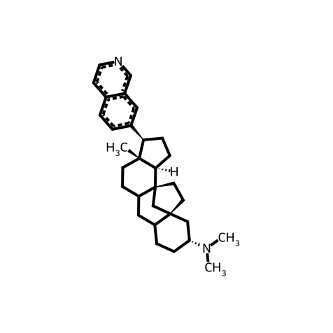 CN(C)[C@@H]1CCC2CC3CC[C@]4(C)[C@@H](c5ccc6ccncc6c5)CC[C@H]4[C@@]34CC[C@]2(C1)C4